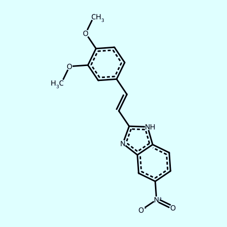 COc1ccc(/C=C/c2nc3cc([N+](=O)[O-])ccc3[nH]2)cc1OC